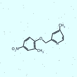 Cc1ccnc(COc2ccc([N+](=O)[O-])cc2C)c1